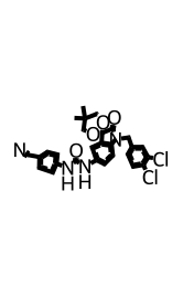 CC1(C)COC2(OC1)C(=O)N(Cc1ccc(Cl)c(Cl)c1)c1ccc(NC(=O)Nc3ccc(C#N)cc3)cc12